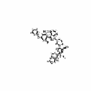 CC(C)(C=C(C#N)C(=O)N1CCC[C@H](n2nc(-c3ccc(Oc4ccccc4)cc3F)c3c(N)ncnc32)C1)N1CCN2CCOC[C@H]2C1